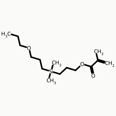 C=C(C)C(=O)OCCC[Si](C)(C)CCCOCCC